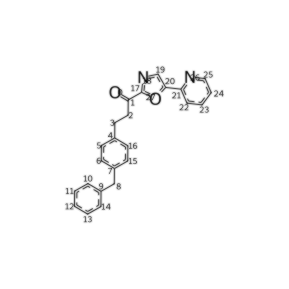 O=C(CCc1ccc(Cc2ccccc2)cc1)c1ncc(-c2ccccn2)o1